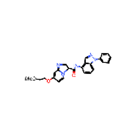 COCCOC1=CC2=NCC(C(=O)Nc3cccc4c3cnn4-c3ccccc3)N2C=C1